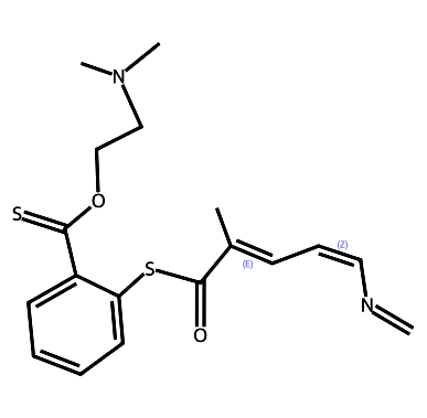 C=N/C=C\C=C(/C)C(=O)Sc1ccccc1C(=S)OCCN(C)C